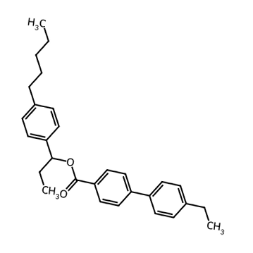 CCCCCc1ccc(C(CC)OC(=O)c2ccc(-c3ccc(CC)cc3)cc2)cc1